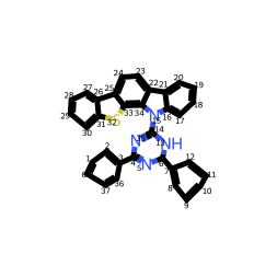 c1ccc(C2=NC(c3ccccc3)NC(n3c4ccccc4c4ccc5c6ccccc6sc5c43)=N2)cc1